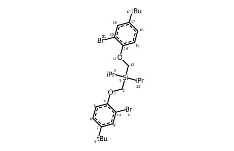 CC(C)[Si](COc1ccc(C(C)(C)C)cc1Br)(COc1ccc(C(C)(C)C)cc1Br)C(C)C